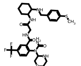 CSc1ccc(CNC2CCCCC2NC(=O)CNC(=O)c2cc(C(F)(F)F)ccc2N(C(N)=O)C2COCCN2)cc1